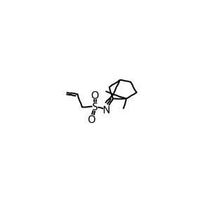 C=CCS(=O)(=O)N=C1CC2CCC1(C)C2(C)C